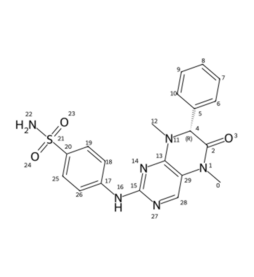 CN1C(=O)[C@@H](c2ccccc2)N(C)c2nc(Nc3ccc(S(N)(=O)=O)cc3)ncc21